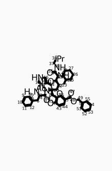 CC(=O)N(C(=O)[C@@H](N)Cc1ccccc1)[C@](Cc1c[nH]cn1)(C(=O)[C@@H](CC1CCCCC1)C(O)C(N)C(=O)NCC(C)C)[C@H]1COc2ccc(C(=O)OCc3ccccc3)cc21